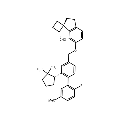 COc1ccc(F)c(-c2ccc(COc3ccc4c(c3)[C@@]3(CC4)CC[C@H]3C=O)cc2[C@@H]2CCCC2(C)C)c1